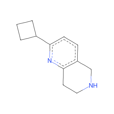 c1cc2c(nc1C1CCC1)CCNC2